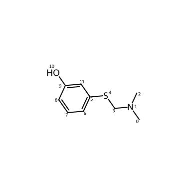 CN(C)CSc1cccc(O)c1